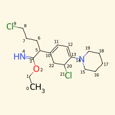 CCOC(=N)C(CCCCl)C1=CC=C(N2CCCCC2)C(Cl)C1